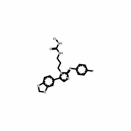 CCNC(=O)NCCCn1c(-c2ccc3c(c2)OCO3)cs/c1=N\c1ccc(F)cc1